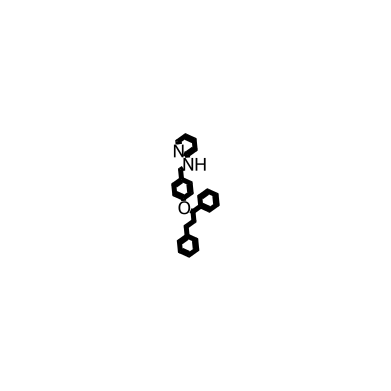 c1ccc(CCC(Oc2ccc(CNc3ccccn3)cc2)c2ccccc2)cc1